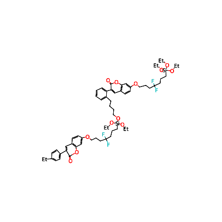 CCO[Si](CCCC(F)(F)CCCOc1ccc2cc(-c3ccccc3CCCCO[Si](CCCC(F)(F)CCCOc3ccc4cc(-c5ccc(CC)cc5)c(=O)oc4c3)(OCC)OCC)c(=O)oc2c1)(OCC)OCC